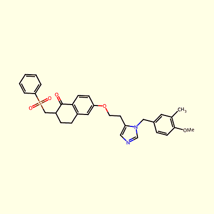 COc1ccc(Cn2cncc2CCOc2ccc3c(c2)CCC(CS(=O)(=O)c2ccccc2)C3=O)cc1C